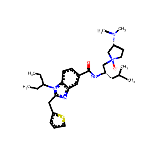 CCC(CC)n1c(Cc2cccs2)nc2cc(C(=O)N[C@@H](CC(C)C)C[N+]3([O-])CC[C@@H](N(C)C)C3)ccc21